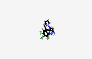 Fc1cc2c(C[C@H]3CCCN3C3CCC3)c[nH]c2c(F)c1F